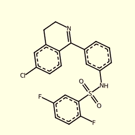 O=S(=O)(Nc1cccc(C2=NCCc3cc(Cl)ccc32)c1)c1cc(F)ccc1F